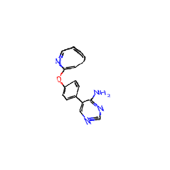 Nc1ncncc1-c1ccc(Oc2ccccn2)cc1